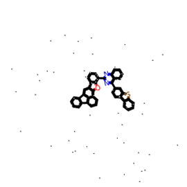 c1ccc2c(c1)-c1cccc3c1c-2cc1c2cccc(-c4nc(-c5ccc6c(c5)sc5ccccc56)c5ccccc5n4)c2oc31